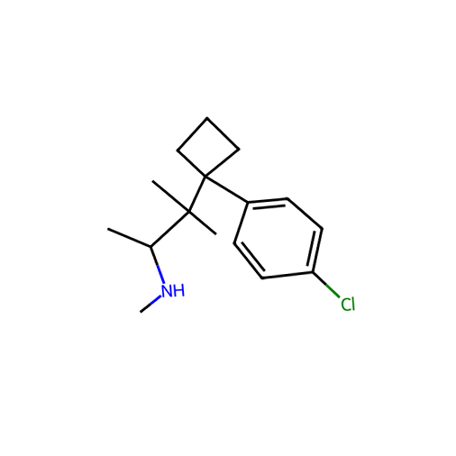 CNC(C)C(C)(C)C1(c2ccc(Cl)cc2)CCC1